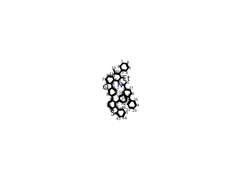 CCC(C(C1=CC=CCC1)=C(C)C)C(/N=C(\C)c1ccc(-c2ccccc2)cc1)c1cccc2oc3cc(-c4ccc5sc6ccccc6c5c4-c4ccccc4)ccc3c12